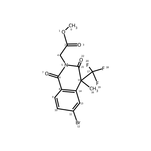 COC(=O)CN1C(=O)c2ccc(Br)cc2C(C)(C(F)(F)F)C1=O